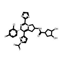 O=C(NC1CC2=C(c3ccn(C(F)F)n3)[C@H](c3ccc(F)cc3Cl)N=C(c3nccs3)N2C1)C1CC(O)C(O)C1